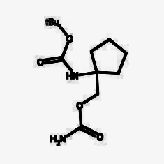 CC(C)(C)OC(=O)NC1(COC(N)=O)CCCC1